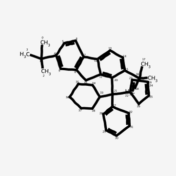 CC(C)(C)c1ccc2c(c1)Cc1c-2ccc(C(C)(C)C)c1C(C1=CC=CC1)(c1ccccc1)C1CCCCC1